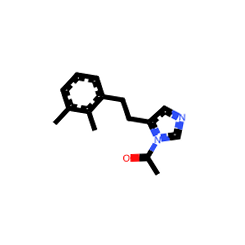 CC(=O)n1cncc1CCc1cccc(C)c1C